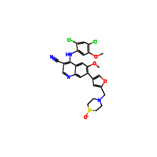 COc1cc(Nc2c(C#N)cnc3cc(-c4coc(CN5CC[S+]([O-])CC5)c4)c(OC)cc23)c(Cl)cc1Cl